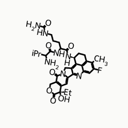 CC[C@@]1(O)C(=O)OCc2c1cc1n(c2=O)Cc2c-1nc1cc(F)c(C)c3c1c2[C@@H](NC(=O)C(CCCNC(N)=O)NC(=O)C(N)C(C)C)CC3